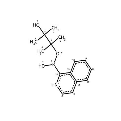 CC(C)(O)C(C)(C)OB(O)c1nccc2ccccc12